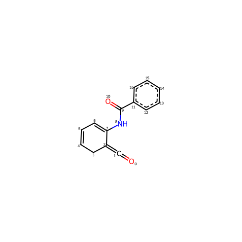 O=C=C1CC=CC=C1NC(=O)c1ccccc1